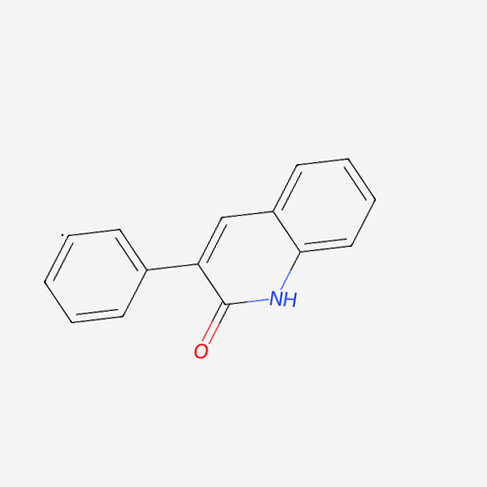 O=c1[nH]c2ccccc2cc1-c1c[c]ccc1